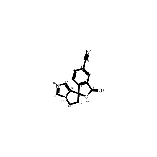 N#Cc1ccc2c(c1)C(=O)OC21CCn2cncc21